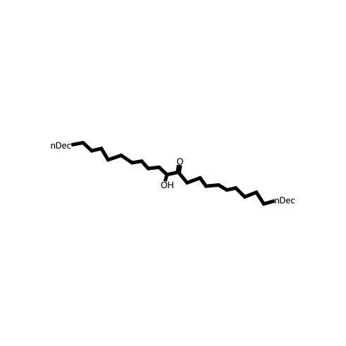 CCCCCCCCCCCCCCCCCCCC(=O)C(O)CCCCCCCCCCCCCCCCCCC